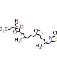 CC(=Cc1csc(C)n1)CCC=C(C)CCCC(C)CCC(=O)C(C)(C)CCC(=O)O